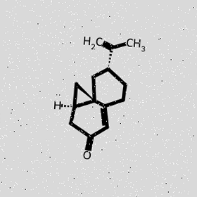 C=C(C)[C@@H]1CCC2=CC(=O)C[C@H]3C[C@@]23C1